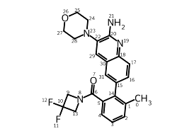 Cc1cccc(C(=O)N2CC(F)(F)C2)c1-c1ccc2nc(N)c(N3CCOCC3)cc2c1